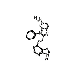 Nc1ccc2nc(CSc3ncnc4[nH]cnc34)n(-c3ccccc3)c2n1